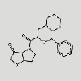 O=C1COC2CCN(C(=O)C(CC3CCCCC3)OCc3ccccc3)C12